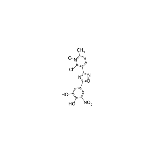 Cc1ccc(-c2noc(-c3cc(O)c(O)c([N+](=O)[O-])c3)n2)c(Cl)[n+]1[O-]